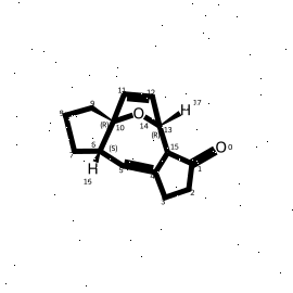 O=C1CCC2=C[C@@H]3CCC[C@]34C=C[C@@H](O4)C12